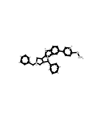 COc1ccc(-c2ccc3nc4n(c3c2)C(c2ccccc2)C2CN(Cc3ccccc3)CC42)cn1